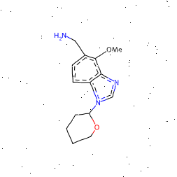 COc1c(CN)ccc2c1ncn2C1CCCCO1